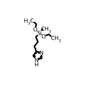 CCO[Si](C)(CCCc1c[nH]cn1)OCC